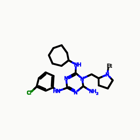 CCN1CCCC1CN1C(NC2CCCCCC2)=NC(Nc2cccc(Cl)c2)=NC1N